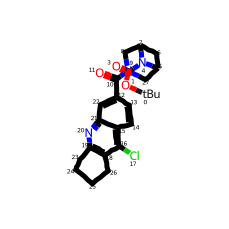 CC(C)(C)OC(=O)N1C2CC1CN(C(=O)c1ccc3c(Cl)c4c(nc3c1)CCCC4)C2